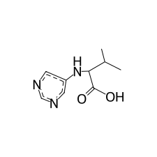 CC(C)C(Nc1cncnc1)C(=O)O